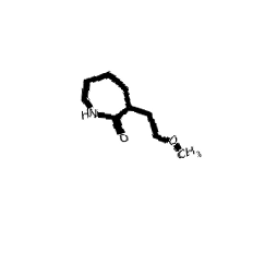 COCCC1CCCCNC1=O